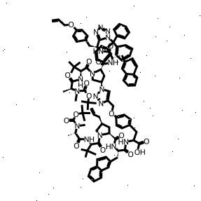 C=CCOc1ccc(C[C@H](NC(=O)[C@H](Cc2ccc3ccccc3c2)NC(=O)[C@@H]2C[C@@H](n3cc(COc4ccc(CC(NC(=O)[C@H](Cc5ccc6ccccc6c5)NC(=O)[C@@H]5C[C@H](CC=C)CN5C(=O)[C@@H](NC(=O)[C@H](C)N(C)C(=O)OC(C)(C)C)C(C)(C)C)C(=O)O)cc4)nn3)CN2C(=O)[C@@H](NC(=O)[C@H](C)N(C)C(=O)OC(C)(C)C)C(C)(C)C)c2nnnn2C(c2ccccc2)(c2ccccc2)c2ccccc2)cc1